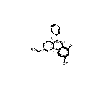 OC[C@H]1CC[C@@H]2[C@H](O1)c1cc(C(F)(F)F)cc(F)c1N[C@H]2C1C=CC=CC1